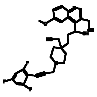 COc1ccc2ncc(CO)c(C(O)CCC3(CO)CCN(CC#Cc4c(F)cc(F)cc4F)CC3)c2c1